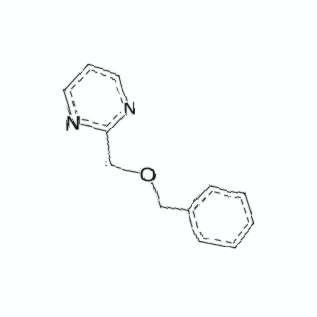 [C](OCc1ccccc1)c1ncccn1